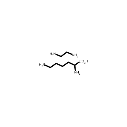 NCCCCC(N)C(=O)O.NCCN